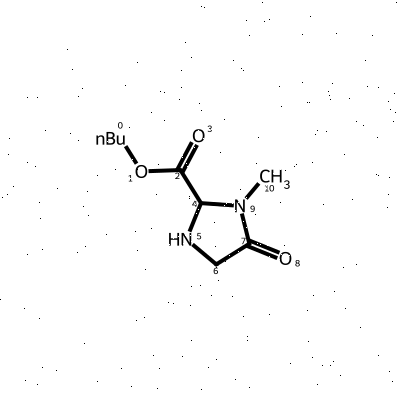 CCCCOC(=O)C1NCC(=O)N1C